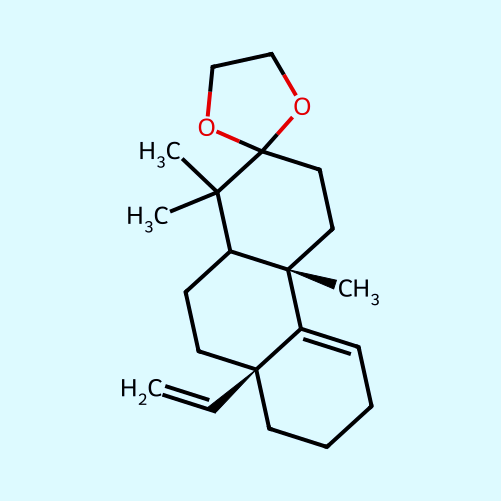 C=C[C@]12CCCC=C1[C@@]1(C)CCC3(OCCO3)C(C)(C)C1CC2